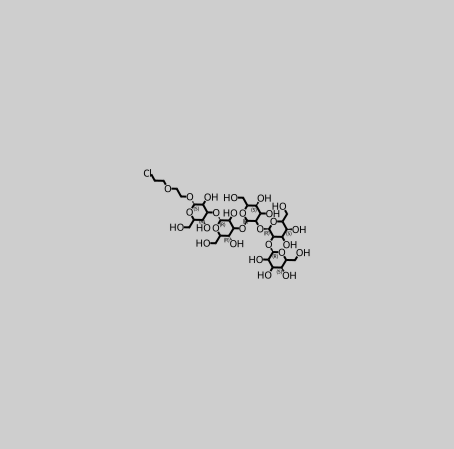 OCC1O[C@H](OC2C(O)[C@H](O)C(CO)O[C@@H]2OC2C(O)[C@H](O)C(CO)O[C@@H]2OC2C(O)[C@@H](OC3C(O)[C@@H](OCCOCCCl)OC(CO)[C@H]3O)OC(CO)[C@H]2O)C(O)C(O)[C@@H]1O